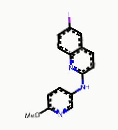 COc1ccc(Nc2ccc3cc(I)ccc3n2)cn1